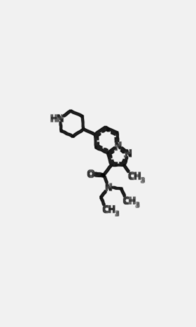 CCN(CC)C(=O)c1c(C)nn2ccc(C3CCNCC3)cc12